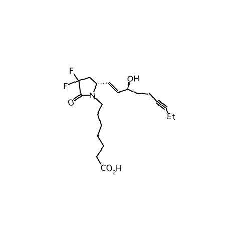 CCC#CCC[C@H](O)/C=C/[C@H]1CC(F)(F)C(=O)N1CCCCCCC(=O)O